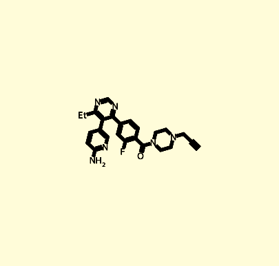 C#CCN1CCN(C(=O)c2ccc(-c3ncnc(CC)c3-c3ccc(N)nc3)cc2F)CC1